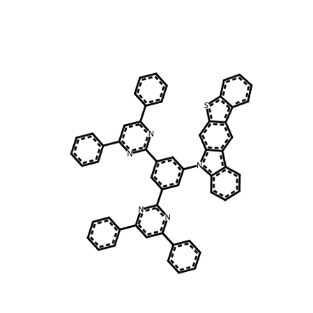 c1ccc(-c2cc(-c3ccccc3)nc(-c3cc(-c4nc(-c5ccccc5)cc(-c5ccccc5)n4)cc(-n4c5ccccc5c5cc6c(cc54)sc4ccccc46)c3)n2)cc1